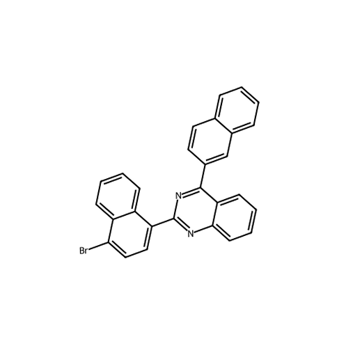 Brc1ccc(-c2nc(-c3ccc4ccccc4c3)c3ccccc3n2)c2ccccc12